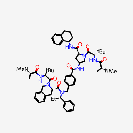 CC[C@H](c1ccccc1)N(Cc1ccc(C(=O)NC2C[C@@H](C(=O)N[C@@H]3CCCc4ccccc43)N(C(=O)[C@@H](NC(=O)[C@H](C)NC)C(C)(C)C)C2)cc1)C(=O)[C@@H]1Cc2ccccc2CN1C(=O)C(NC(=O)[C@H](C)NC)C(C)(C)C